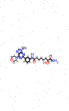 CC(C)n1cnc2c(N3CCOCC3)nc(-c3cccc(NC(=O)CCCCCC(O)C(N)=O)c3)nc21